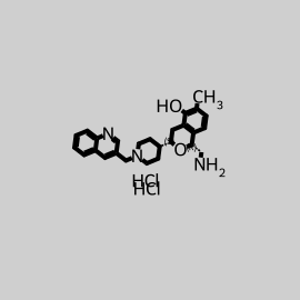 Cc1ccc2c(c1O)C[C@@H](C1CCN(Cc3cnc4ccccc4c3)CC1)O[C@H]2CN.Cl.Cl